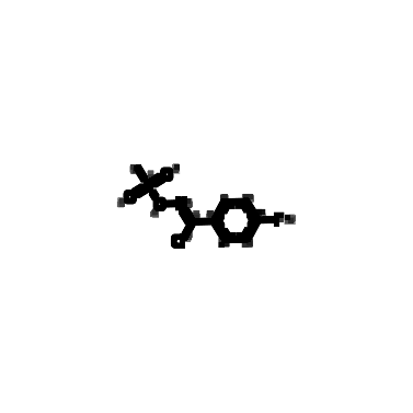 CS(=O)(=O)O/N=C(\Cl)c1ccc(F)cc1